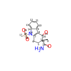 C[C@@]1(C(N)=O)CCc2c(c3ccccc3n2S(C)(=O)=O)C1=O